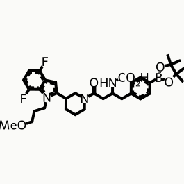 COCCCn1c(C2CCCN(C(=O)CC(Cc3ccc(B4OC(C)(C)C(C)(C)O4)cc3)NC(=O)O)C2)cc2c(F)ccc(F)c21